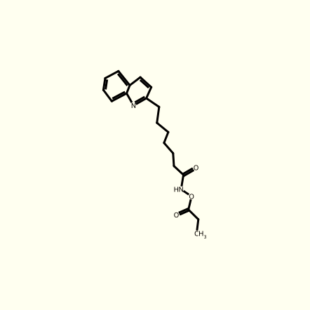 CCC(=O)ONC(=O)CCCCCCc1ccc2ccccc2n1